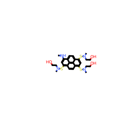 CNc1cc(SN(C)CCO)c2ccc3c(SN(C)CCO)cc(SN(C)CCO)c4ccc1c2c43